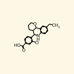 CCc1ccc2c(c1)C1OCCCC1C(c1ccc(C(=O)O)cc1Cl)N2